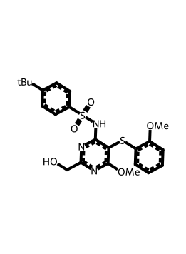 COc1ccccc1Sc1c(NS(=O)(=O)c2ccc(C(C)(C)C)cc2)nc(CO)nc1OC